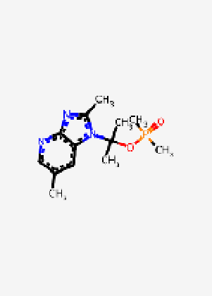 Cc1cnc2nc(C)n(C(C)(C)OP(C)(C)=O)c2c1